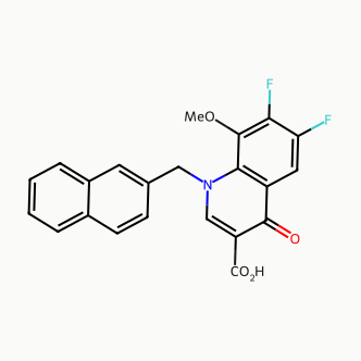 COc1c(F)c(F)cc2c(=O)c(C(=O)O)cn(Cc3ccc4ccccc4c3)c12